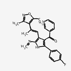 C=Nc1[nH]c(-c2ccc(F)cc2)c(C(=O)c2cccnc2)c1/C=C(\C)c1c(C)noc1C